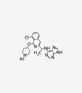 CC(=O)N1CCC(Oc2nc(C(C)Nc3ncnc4[nH]cnc34)cc3cccc(Cl)c23)CC1